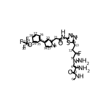 CNC(=O)/C(N)=C/N(N)CC(F)CCc1nnc(NC(=O)Cc2cc(-c3cccc(OC(F)(F)F)c3)ccn2)s1